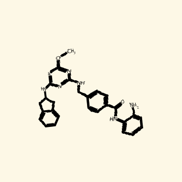 COc1nc(NCc2ccc(C(=O)Nc3ccccc3N)cc2)nc(NC2Cc3ccccc3C2)n1